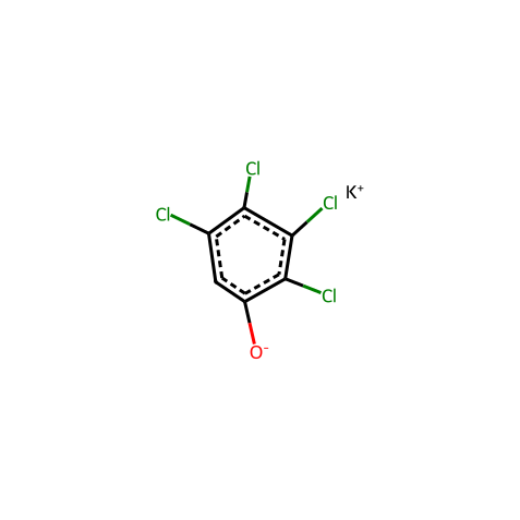 [K+].[O-]c1cc(Cl)c(Cl)c(Cl)c1Cl